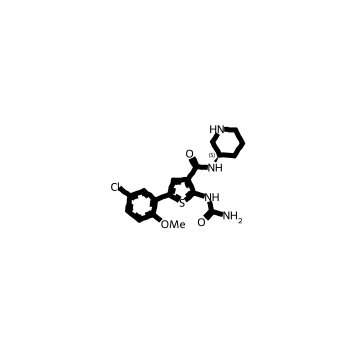 COc1ccc(Cl)cc1-c1cc(C(=O)N[C@H]2CCCNC2)c(NC(N)=O)s1